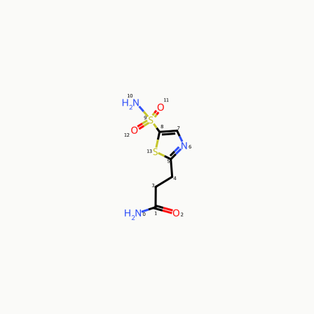 NC(=O)CCc1ncc(S(N)(=O)=O)s1